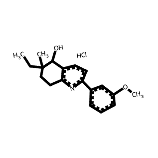 CCC1(C)CCc2nc(-c3cccc(OC)c3)ccc2C1O.Cl